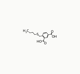 CCCCSCc1ccc(C(=O)O)cc1C(=O)O